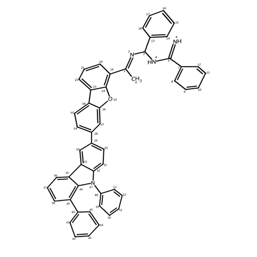 C/C(=N\C(NC(=N)c1ccccc1)c1ccccc1)c1cccc2c1oc1cc(-c3ccc4c(c3)c3cccc(-c5ccccc5)c3n4-c3ccccc3)ccc12